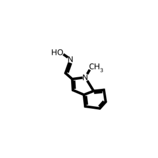 Cn1c(/C=N/O)cc2ccccc21